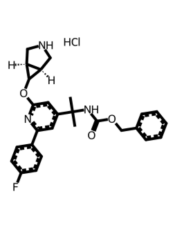 CC(C)(NC(=O)OCc1ccccc1)c1cc(OC2[C@H]3CNC[C@@H]23)nc(-c2ccc(F)cc2)c1.Cl